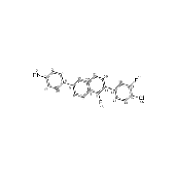 CCc1ccc(-c2ccc3c(F)c(-c4ccc(Cl)c(F)c4)ccc3c2)cc1